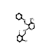 Nc1ncnc(NCc2c(F)cccc2Cl)c1/N=N/c1ccccc1